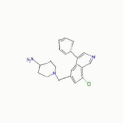 NC1CCN(Cc2cc(Cl)c3cncc(-c4ccccc4)c3c2)CC1